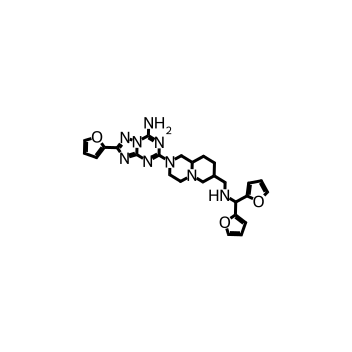 Nc1nc(N2CCN3CC(CNC(c4ccco4)c4ccco4)CCC3C2)nc2nc(-c3ccco3)nn12